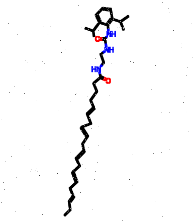 CC/C=C/C/C=C/C/C=C/C/C=C/C/C=C/CCCC(=O)NCCNC(=O)Nc1c(C(C)C)cccc1C(C)C